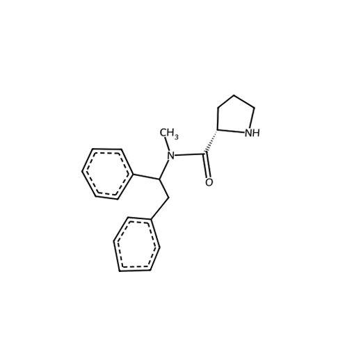 CN(C(=O)[C@@H]1CCCN1)C(Cc1ccccc1)c1ccccc1